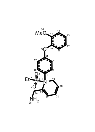 CCS(=O)(=O)[N+]1(c2ccc(Oc3ccccc3OC)cc2)CC=CC=C1CN